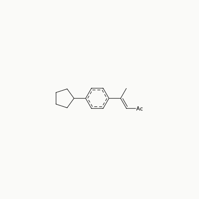 CC(=O)/C=C(\C)c1ccc(C2CCCC2)cc1